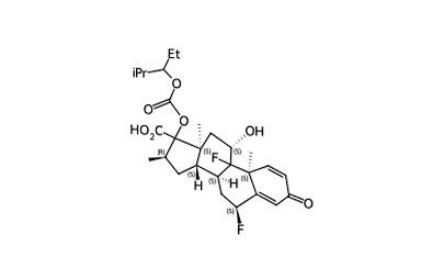 CCC(OC(=O)OC1(C(=O)O)[C@H](C)C[C@H]2[C@@H]3C[C@H](F)C4=CC(=O)C=C[C@]4(C)C3(F)[C@@H](O)C[C@@]21C)C(C)C